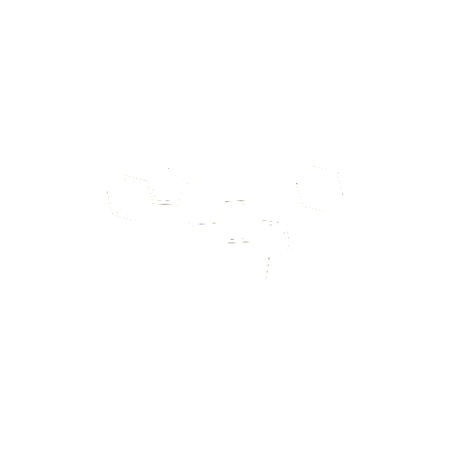 Cc1nn(C2CCNCC2)c2ccc(Nc3n[nH]c4cccnc34)cc12